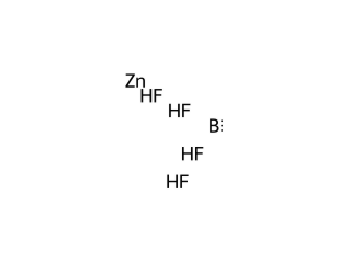 F.F.F.F.[B].[Zn]